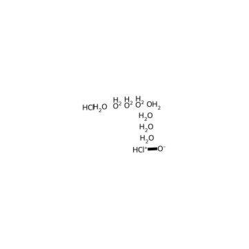 Cl.O.O.O.O.O.O.O.O.[O-][ClH+]